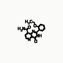 CCOc1ccccc1-c1nc2c(C(N)=O)ccnc2c(=O)[nH]1